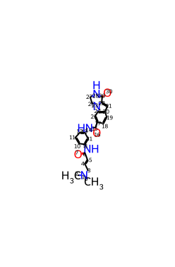 CN(C)C/C=C/C(=O)Nc1cccc(NC(=O)c2ccc3cc4n(c3c2)CCNC4=O)c1